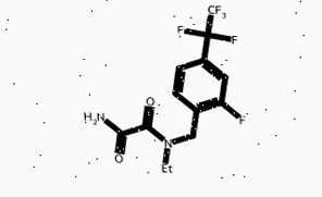 CCN(Cc1ccc(C(F)(F)C(F)(F)F)cc1F)C(=O)C(N)=O